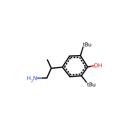 CC(CN)c1cc(C(C)(C)C)c(O)c(C(C)(C)C)c1